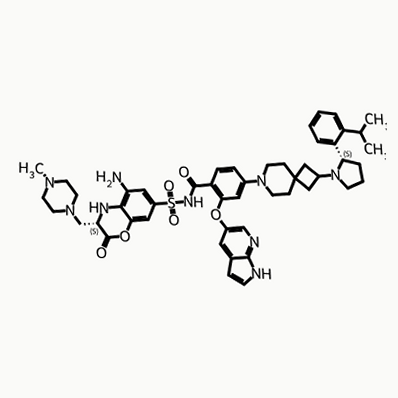 CC(C)c1ccccc1[C@@H]1CCCN1C1CC2(CCN(c3ccc(C(=O)NS(=O)(=O)c4cc(N)c5c(c4)OC(=O)[C@H](CN4CCN(C)CC4)N5)c(Oc4cnc5[nH]ccc5c4)c3)CC2)C1